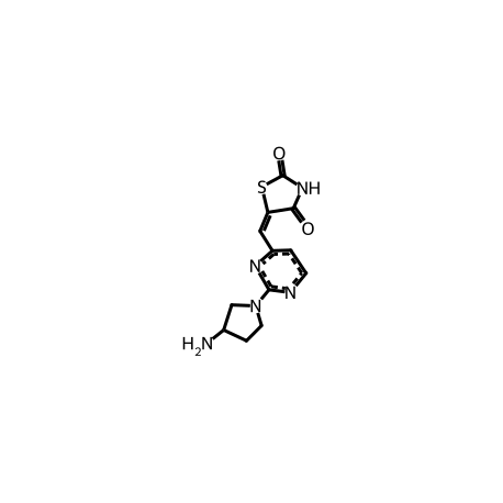 NC1CCN(c2nccc(/C=C3/SC(=O)NC3=O)n2)C1